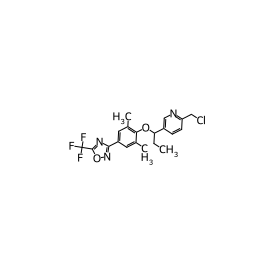 CCC(Oc1c(C)cc(-c2noc(C(F)(F)F)n2)cc1C)c1ccc(CCl)nc1